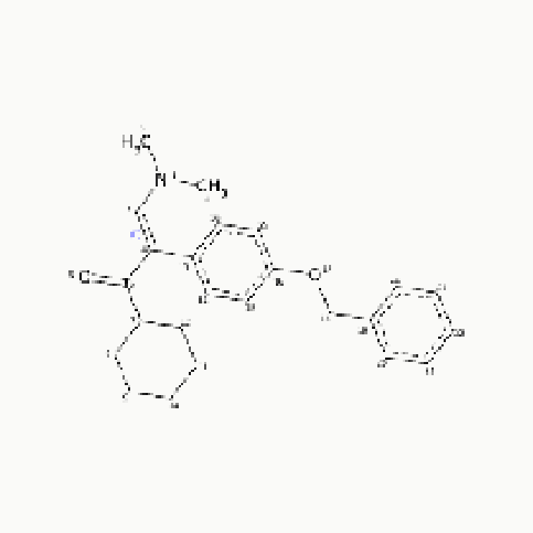 CN(C)/C=C(/C(=O)C1CCCCC1)c1ccc(OCc2ccccc2)cc1